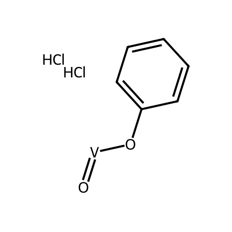 Cl.Cl.[O]=[V][O]c1ccccc1